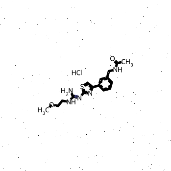 COCCN/C(N)=N/c1nc(-c2cccc(CNC(C)=O)c2)cs1.Cl